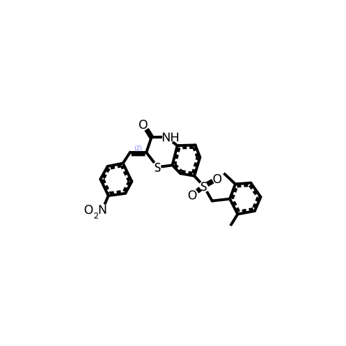 Cc1cccc(C)c1CS(=O)(=O)c1ccc2c(c1)S/C(=C\c1ccc([N+](=O)[O-])cc1)C(=O)N2